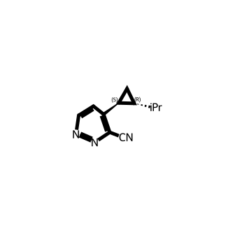 CC(C)[C@H]1C[C@@H]1c1ccnnc1C#N